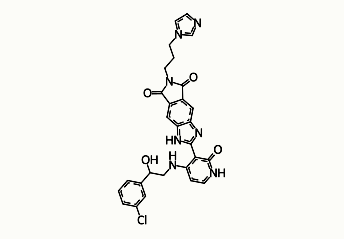 O=C1c2cc3nc(-c4c(NCC(O)c5cccc(Cl)c5)cc[nH]c4=O)[nH]c3cc2C(=O)N1CCCn1ccnc1